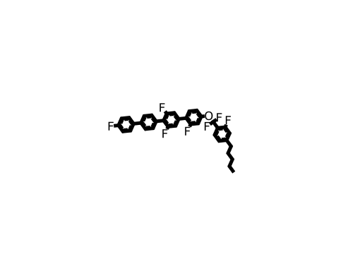 CCCCCc1ccc(C(F)(F)Oc2ccc(-c3cc(F)c(-c4ccc(-c5ccc(F)cc5)cc4)c(F)c3)c(F)c2)c(F)c1